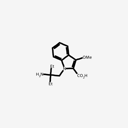 CCC(N)(CC)Cn1c(C(=O)O)c(OC)c2ccccc21